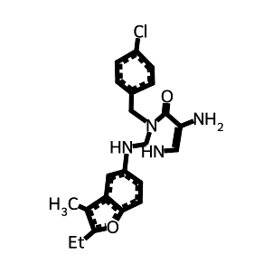 CCc1oc2ccc(NC3NC=C(N)C(=O)N3Cc3ccc(Cl)cc3)cc2c1C